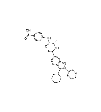 C[C@H](NC(=O)c1ccc2c(C3CCCCC3)n(-c3ccccc3)nc2c1)C(=O)Nc1ccc(C(=O)O)cc1